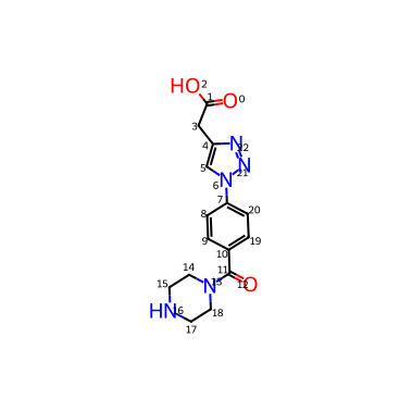 O=C(O)Cc1cn(-c2ccc(C(=O)N3CCNCC3)cc2)nn1